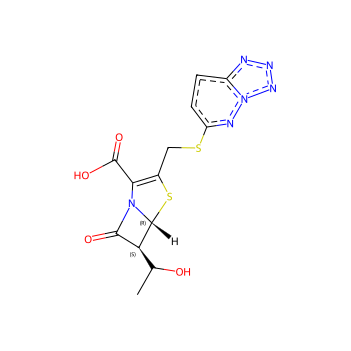 CC(O)[C@H]1C(=O)N2C(C(=O)O)=C(CSc3ccc4nnnn4n3)S[C@H]12